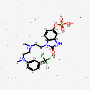 CN(CCN(C)c1cccc(C(F)(F)F)c1)CCn1c(=O)[nH]c2cc(OS(=O)(=O)O)ccc21